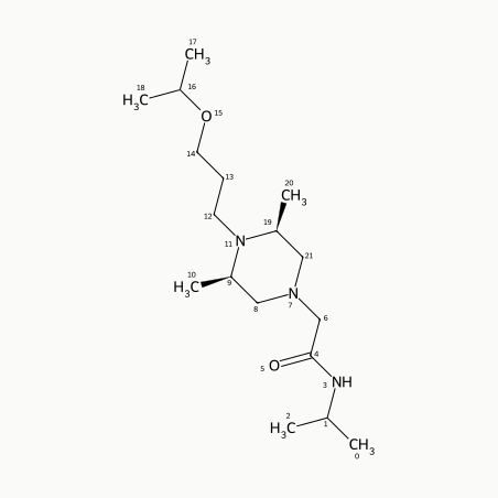 CC(C)NC(=O)CN1C[C@@H](C)N(CCCOC(C)C)[C@@H](C)C1